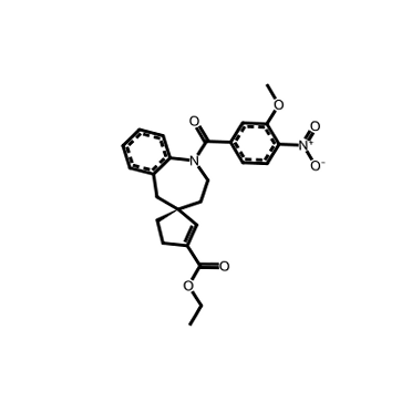 CCOC(=O)C1=C[C@@]2(CC1)CCN(C(=O)c1ccc([N+](=O)[O-])c(OC)c1)c1ccccc1C2